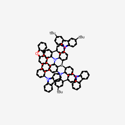 CC(C)(C)c1ccc(N2c3cc(-n4c5ccccc5c5ccccc54)ccc3B3c4ccc(-n5c6ccc(C(C)(C)C)cc6c6cc(C(C)(C)C)ccc65)cc4N(c4c(-c5ccccc5)cccc4-c4ccccc4)c4cc(-c5c(-c6ccc7c(c6)oc6ccccc67)cccc5-n5c6ccccc6c6ccccc65)cc2c43)c(-c2ccccc2)c1